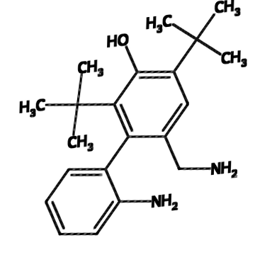 CC(C)(C)c1cc(CN)c(-c2ccccc2N)c(C(C)(C)C)c1O